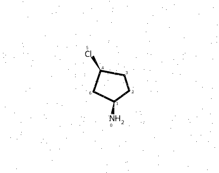 N[C@@H]1CC[C@H](Cl)C1